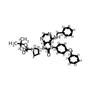 CC(C)(C)OC(=O)N1CC[C@@H](n2c(=O)n(-c3ccc(Oc4ccccc4)cc3)c3c(NCc4ccccc4)ncnc32)C1